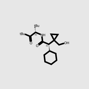 CC(C)(C)C(=O)[C@@H](NC(=O)[C@@H](C1CCCCC1)C1(CO)CC1)C(C)(C)C